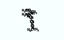 CCCC[C@](C)(CO)Nc1nc(N)nc2cc(-c3ccc(N4CCN(C(C)C)CC4)nc3)ncc12